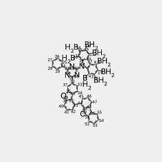 Bc1c(B)c(B)c2c(c1B)c1c(B)c(B)c(B)c(B)c1n2-c1nc(-c2ccccc2)nc(-c2ccc3c(c2)oc2cccc(-c4cccc5c4oc4ccccc45)c23)n1